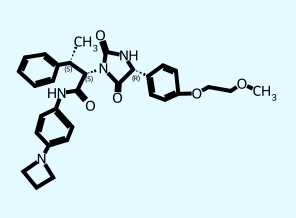 COCCOc1ccc([C@H]2NC(=O)N([C@H](C(=O)Nc3ccc(N4CCC4)cc3)[C@@H](C)c3ccccc3)C2=O)cc1